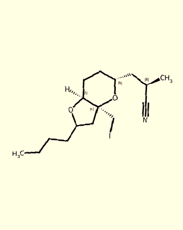 CCCCC1C[C@]2(CI)O[C@@H](C[C@@H](C)C#N)CC[C@@H]2O1